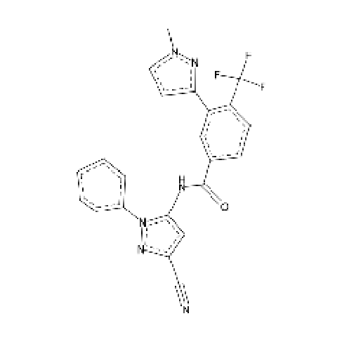 Cn1ccc(-c2cc(C(=O)Nc3cc(C#N)nn3-c3ccccc3)ccc2C(F)(F)F)n1